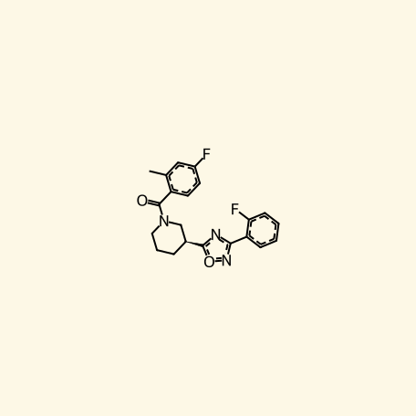 Cc1cc(F)ccc1C(=O)N1CCC[C@H](c2nc(-c3ccccc3F)no2)C1